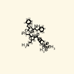 CC(C)CC(NC(=O)C(Cc1ccccc1)NC(=O)C(N)Cc1ccccc1)C(=O)NC(CCCCN)C(=O)N1CC2=C(C1)CN(S(=O)(=O)N(C)C)C2